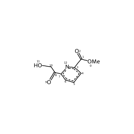 COC(=O)c1cccc(C(=O)CO)n1